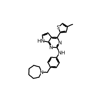 Cc1csc(-c2nc(Nc3ccc(CN4CCCCCC4)cc3)nc3[nH]ccc23)c1